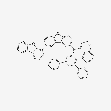 c1ccc(-c2cc(-c3ccccc3)cc(N(c3ccc4oc5ccc(-c6cccc7c6oc6ccccc67)cc5c4c3)c3cccc4ccccc34)c2)cc1